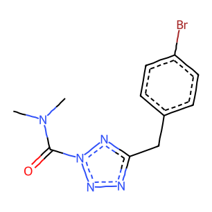 CN(C)C(=O)n1nnc(Cc2ccc(Br)cc2)n1